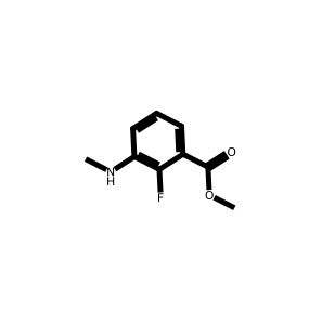 CNc1cccc(C(=O)OC)c1F